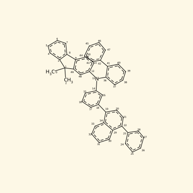 CC1(C)c2ccccc2-c2ccc(N(c3cccc(-c4ccc(-c5ccccc5)c5ccccc45)c3)c3ccccc3-c3ccccc3)cc21